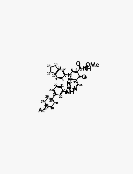 CONC(=O)c1cn(-c2ccc3c(c2)CCC3)c2nc(Nc3cccc(C4CCN(C(C)=O)CC4)c3)ncc2c1=O